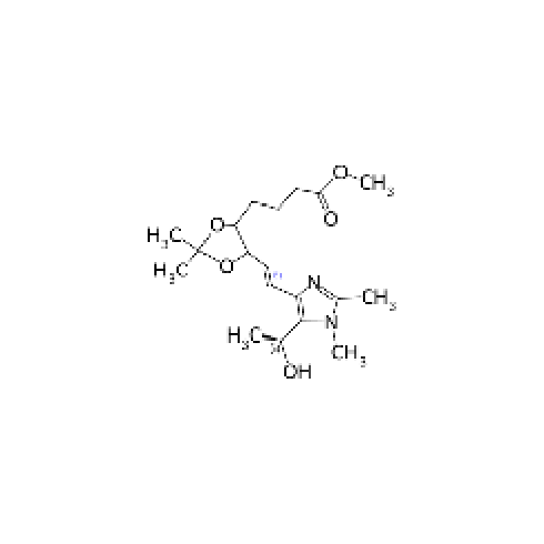 COC(=O)CCCC1OC(C)(C)OC1/C=C/c1nc(C)n(C)c1[C@H](C)O